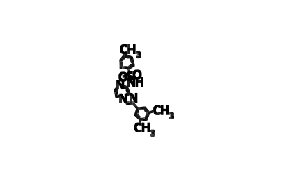 Cc1ccc(S(=O)(=O)Nc2nccn3cc(-c4cc(C)cc(C)c4)nc23)cc1